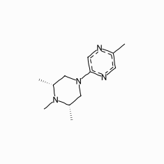 Cc1cnc(N2C[C@@H](C)N(C)[C@@H](C)C2)cn1